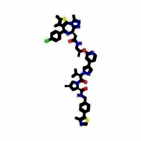 Cc1ncsc1-c1ccc(CNC(=O)[C@@H]2C[C@@H](C)CN2C(=O)[C@@H](C(C)C)n2cc(-c3ccnc(O[C@@H](C)CNC(=O)C[C@@H]4N=C(c5ccc(Cl)cc5)c5c(sc(C)c5C)-n5c(C)nnc54)c3)cn2)cc1